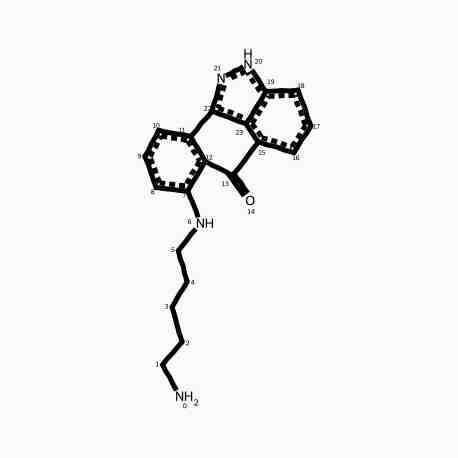 NCCCCCNc1cccc2c1C(=O)c1cccc3[nH]nc-2c13